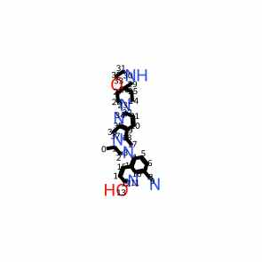 CC1CN(c2ccc(C#N)c3nc(O)ccc23)CC2c3ccc(N4CCC5(CC4)CNCCO5)nc3CN12